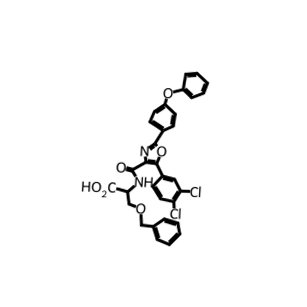 O=C(NC(COCc1ccccc1)C(=O)O)c1nc(-c2ccc(Oc3ccccc3)cc2)oc1-c1ccc(Cl)c(Cl)c1